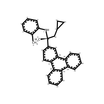 Cc1ccccc1N[C@](C)(CC1CC1)c1ccc2c3ccccc3c3ccccc3c2c1